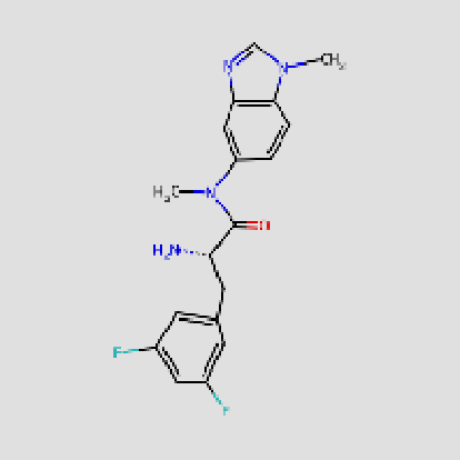 CN(C(=O)[C@@H](N)Cc1cc(F)cc(F)c1)c1ccc2c(c1)ncn2C